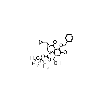 CC(C)(C)OC(=O)N1CN(CC2CC2)C(=O)c2c(OCc3ccccc3)c(=O)cc(CO)n21